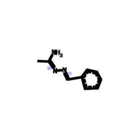 C/C(N)=N/N=C/c1ccccc1